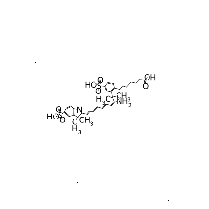 CC1(C)C(/C=C/C=C/C=C/C=C(/N)C(C)(C)c2cc(S(=O)(=O)O)ccc2CCCCCCC(=O)O)=Nc2ccc(S(=O)(=O)O)cc21